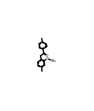 Cc1ccc(C(=O)Cc2ccc(C)cc2OC(C)(C)C)cc1